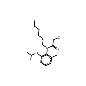 CCCCOCN(C(=O)CCl)c1c(C)cccc1OC(F)F